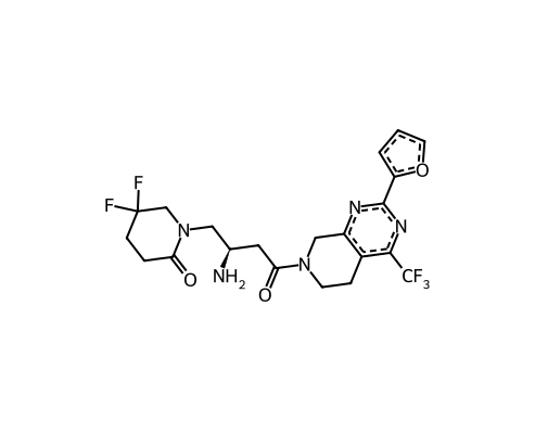 N[C@H](CC(=O)N1CCc2c(nc(-c3ccco3)nc2C(F)(F)F)C1)CN1CC(F)(F)CCC1=O